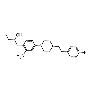 CCC(O)Cc1ccc(N2CCC(CCc3ccc(F)cc3)CC2)cc1N